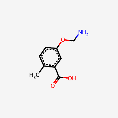 Cc1ccc(OCN)cc1C(=O)O